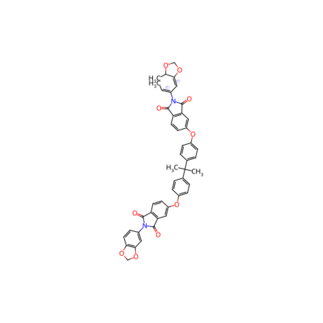 C/C=C(\C=C1\OCOC1C)N1C(=O)c2ccc(Oc3ccc(C(C)(C)c4ccc(Oc5ccc6c(c5)C(=O)N(c5ccc7c(c5)OCO7)C6=O)cc4)cc3)cc2C1=O